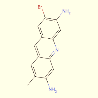 Cc1cc2cc3cc(Br)c(N)cc3nc2cc1N